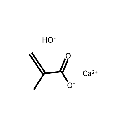 C=C(C)C(=O)[O-].[Ca+2].[OH-]